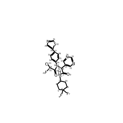 O=C(NC1CCC(F)(F)CC1)[C@H](c1cncnc1)N(C(=O)[C@@H](F)Cl)c1ccc(-c2cncs2)cc1